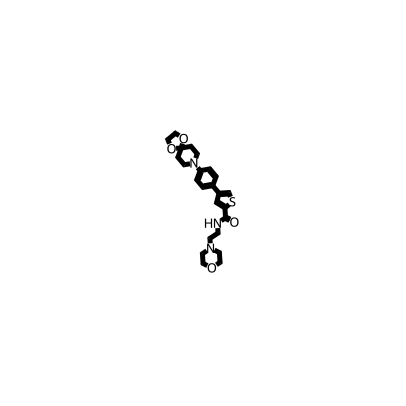 O=C(NCCN1CCOCC1)c1cc(-c2ccc(N3CCC4(CC3)OCCO4)cc2)cs1